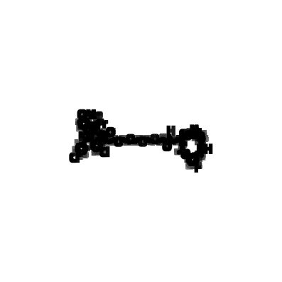 COc1ccc(C2=N[C@H](c3ccc(Cl)cc3)[C@H](c3ccc(Cl)cc3)N2C(=O)N2CCN(CCOCCOCCOCCOCCC(=O)NCCN3C[C@H](C)Oc4ccc(F)cc4C(C)Nc4ccn5ncc(c5n4)C3=O)C(=O)C2)c(OC(C)C)c1